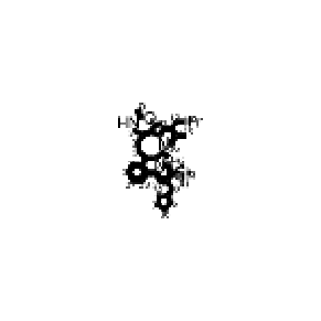 C=C1NCC2=C(C(=C)O1)c1cc(CC(C)C)c(C)c[n+]1C(=C)C1C(CC2)c2ccccc2-c2cc(CC3CCCC3)c([Si](C)(C)C)c[n+]21